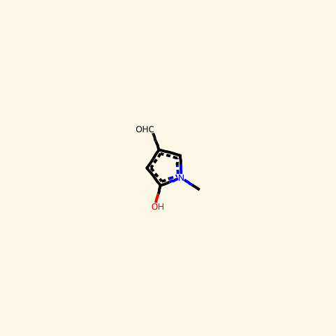 Cn1cc(C=O)cc1O